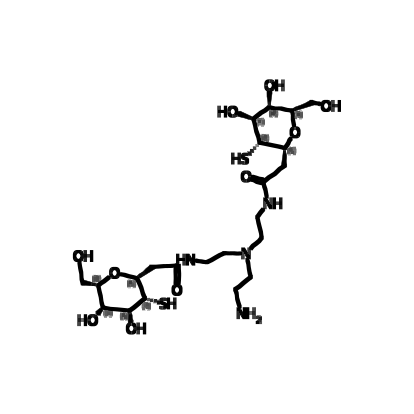 NCCN(CCNC(=O)C[C@@H]1O[C@H](CO)[C@H](O)[C@H](O)[C@H]1S)CCNC(=O)C[C@@H]1O[C@H](CO)[C@H](O)[C@H](O)[C@H]1S